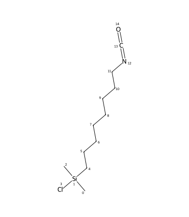 C[Si](C)(Cl)CCCCCCCCN=C=O